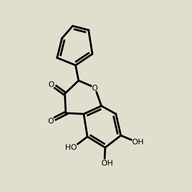 O=C1C(=O)C(c2ccccc2)Oc2cc(O)c(O)c(O)c21